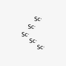 [Sc].[Sc].[Sc].[Sc].[Sc]